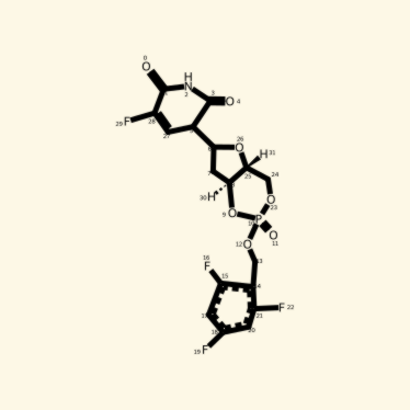 O=C1NC(=O)C(C2C[C@@H]3OP(=O)(OCc4c(F)cc(F)cc4F)OC[C@H]3O2)C=C1F